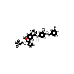 CCC(OCCS(C)(=O)=O)C1(c2cc3c(Nc4ccc(OCc5cccc(F)c5)c(Cl)c4)ncnc3cc2F)CC=CO1